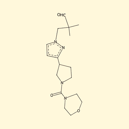 CC(C)(C=O)Cn1ccc(C2CCN(C(=O)N3CCOCC3)C2)n1